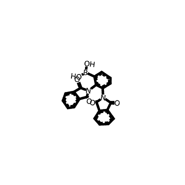 O=C1c2ccccc2C(=O)N1c1cccc(B(O)O)c1N1C(=O)c2ccccc2C1=O